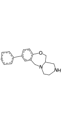 c1ccc(-c2ccc3c(c2)CN2CCNCC2CO3)cc1